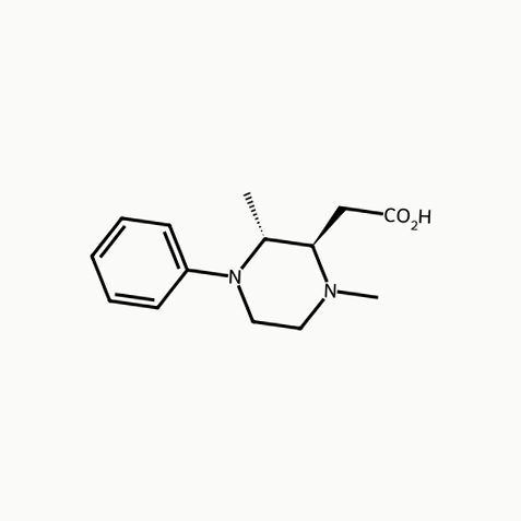 C[C@@H]1[C@@H](CC(=O)O)N(C)CCN1c1ccccc1